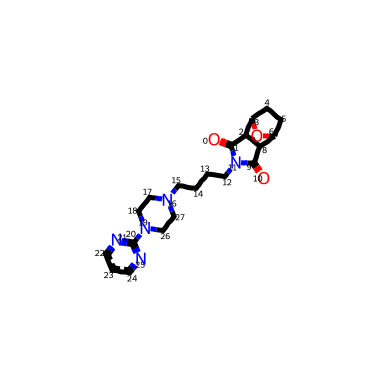 O=C1C2C3CCC(O3)C2C(=O)N1CCCCN1CCN(c2ncccn2)CC1